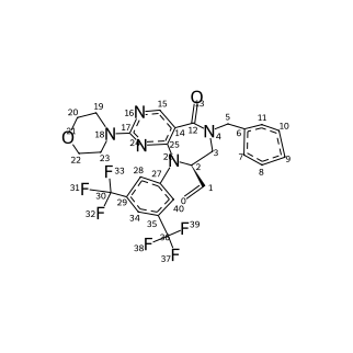 C=C[C@@H]1CN(Cc2ccccc2)C(=O)c2cnc(N3CCOCC3)nc2N1c1cc(C(F)(F)F)cc(C(F)(F)F)c1